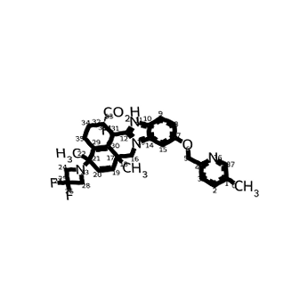 Cc1ccc(COc2ccc3nc4n(c3c2)CC2(C)C=CC(C)(N3CC(F)(F)C3)C3=C2[C@@H]4[C@@H](C(=O)O)CC3)nc1